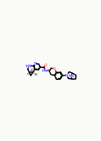 O=C(N[C@H]1COc2cc(N3CC4CCC(C3)N4)ccc2C1)c1cnc2c(c1)[C@H]1C[C@H]1CN2